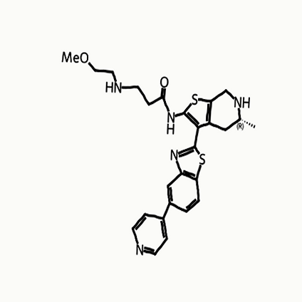 COCCNCCC(=O)Nc1sc2c(c1-c1nc3cc(-c4ccncc4)ccc3s1)C[C@@H](C)NC2